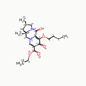 CCCCOc1c2n(cc(C(=O)OCC)c1=O)C[C@]1(C)C[C@@H](C)CN1C2=O